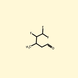 CC(CC=O)C(F)C(F)F